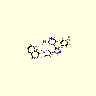 Nc1nccc(-c2c(-c3ccc(F)cc3)ncn2C2CCN(Cc3cncc4ccccc34)C2)n1